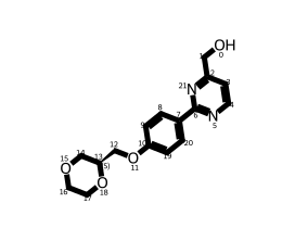 OCc1ccnc(-c2ccc(OC[C@@H]3COCCO3)cc2)n1